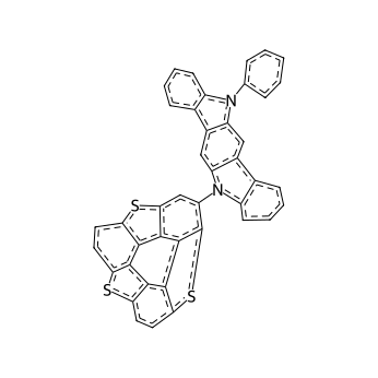 c1ccc(-n2c3ccccc3c3cc4c(cc32)c2ccccc2n4-c2cc3sc4ccc5sc6ccc7sc2c2c3c4c5c6c72)cc1